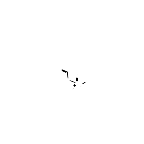 COS(=O)(=S)OC=O